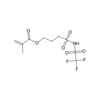 C=C(C)C(=O)OCCCS(=O)(=O)NS(=O)(=O)C(F)(F)F